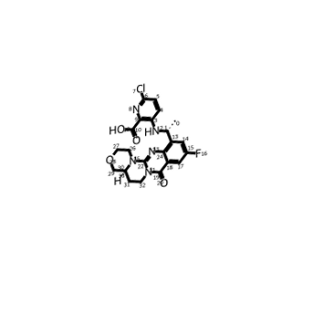 C[C@@H](Nc1ccc(Cl)nc1C(=O)O)c1cc(F)cc2c(=O)n3c(nc12)N1CCOC[C@@H]1CC3